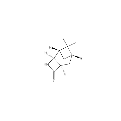 CC1(C)[C@H]2C[C@@H]1[C@@H]1NC(=O)[C@@H]1C2